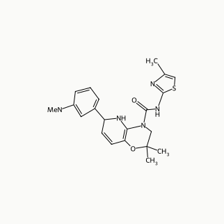 CNc1cccc(C2C=CC3=C(N2)N(C(=O)Nc2nc(C)cs2)CC(C)(C)O3)c1